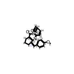 COc1ccc(/C=C2/CCCc3c2nc2n(c3=O)C3CC3(C(=O)O)C=C2)cc1